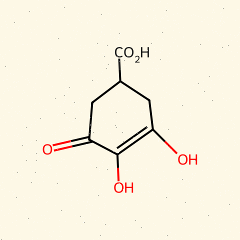 O=C1CC(C(=O)O)CC(O)=C1O